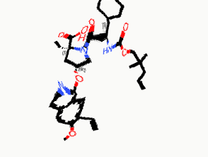 C=CCC(C)(C)COC(=O)N[C@H](C(=O)N1C[C@H](Oc2nccc3cc(OC)c(C=C)cc23)C[C@@]1(CC)C(=O)O)C1CCCCC1